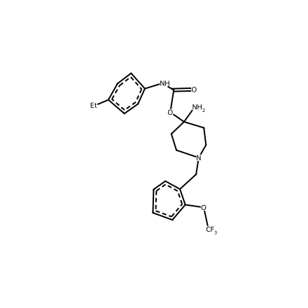 CCc1ccc(NC(=O)OC2(N)CCN(Cc3ccccc3OC(F)(F)F)CC2)cc1